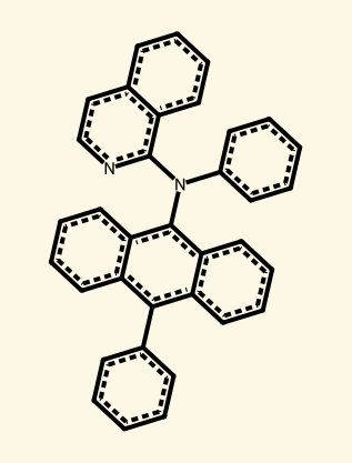 c1ccc(-c2c3ccccc3c(N(c3ccccc3)c3nccc4ccccc34)c3ccccc23)cc1